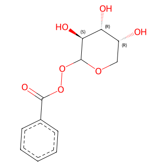 O=C(OOC1OC[C@@H](O)[C@@H](O)[C@@H]1O)c1ccccc1